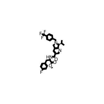 COC(=O)C(Cc1ccc(F)cc1)NC(=O)c1cnc2c(c1)CN(Cc1ccc(C(F)(F)F)cc1)[C@H]2C(C)C